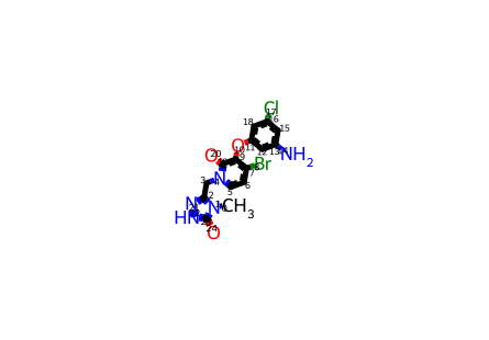 Cn1c(Cn2ccc(Br)c(Oc3cc(N)cc(Cl)c3)c2=O)n[nH]c1=O